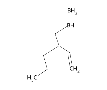 BBCC(C=C)CCC